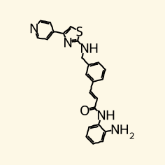 Nc1ccccc1NC(=O)/C=C/c1cccc(CNc2nc(-c3ccncc3)cs2)c1